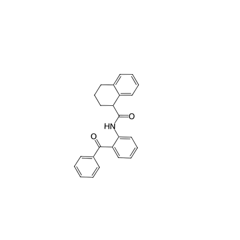 O=C(c1ccccc1)c1ccccc1NC(=O)C1CCCc2ccccc21